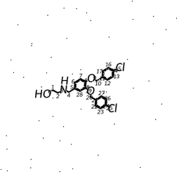 OCCNCc1ccc(OCc2ccc(Cl)cc2)c(OCc2ccc(Cl)cc2)c1